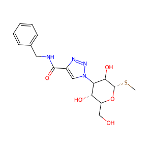 CS[C@@H]1OC(CO)[C@H](O)C(n2cc(C(=O)NCc3ccccc3)nn2)C1O